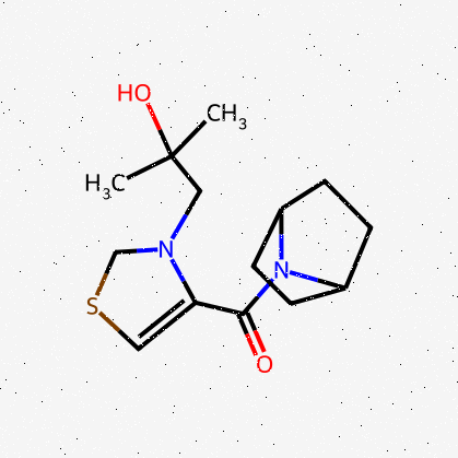 CC(C)(O)CN1CSC=C1C(=O)N1C2CCC1CC2